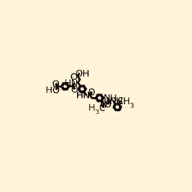 COc1cc(CC(=O)Nc2ccc(C(CC(=O)O)NC(=O)c3ccc(C(=O)O)cc3)cc2)ccc1NC(=O)Nc1ccccc1C